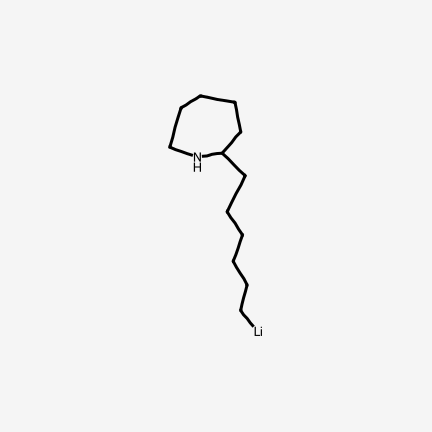 [Li][CH2]CCCCCC1CCCCCN1